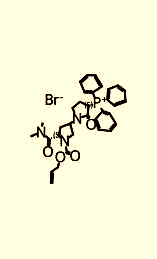 C=CCOC(=O)N1CC(N2CC[C@H]([P+](c3ccccc3)(c3ccccc3)c3ccccc3)C2=O)C[C@H]1C(=O)N(C)C.[Br-]